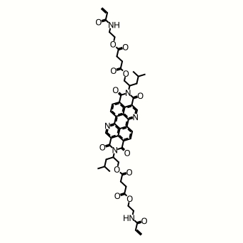 C=CC(=O)NCCOC(=O)CCC(=O)OCC(CC(C)C)N1C(=O)c2ccc3c4ncc5c6c(ccc(c7ncc(c2c37)C1=O)c64)C(=O)N(C(COC(=O)CCC(=O)OCCNC(=O)C=C)CC(C)C)C5=O